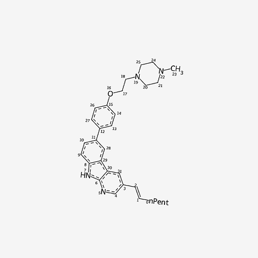 CCCCCC=Cc1cnc2[nH]c3ccc(-c4ccc(OCCN5CCN(C)CC5)cc4)cc3c2c1